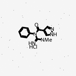 CNC(=N)N(C(=O)c1cn[nH]c1)c1ccccc1.Cl